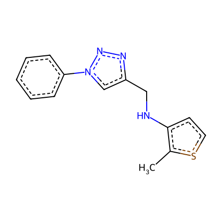 Cc1sccc1NCc1cn(-c2ccccc2)nn1